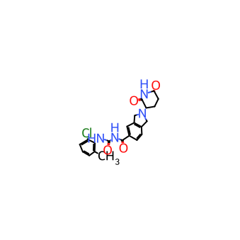 Cc1cccc(Cl)c1NC(=O)NC(=O)c1ccc2c(c1)CN(C1CCC(=O)NC1=O)C2